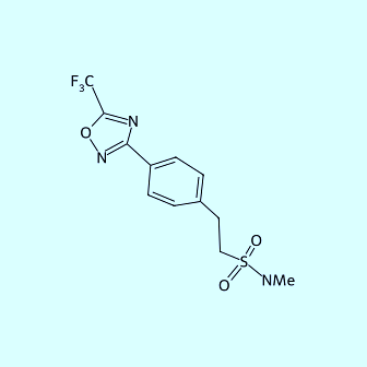 CNS(=O)(=O)CCc1ccc(-c2noc(C(F)(F)F)n2)cc1